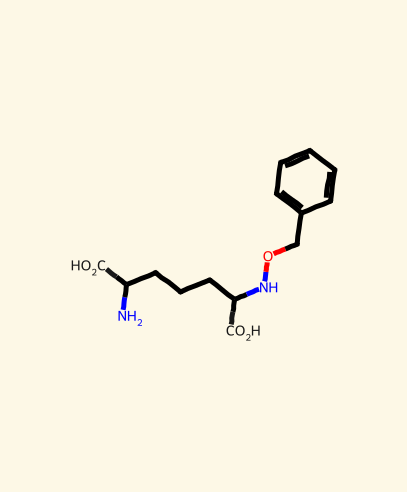 NC(CCCC(NOCc1ccccc1)C(=O)O)C(=O)O